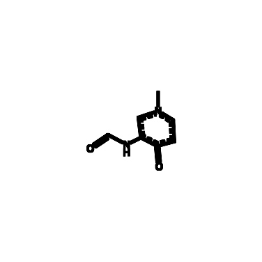 Cn1ccc(=O)c(NC=O)c1